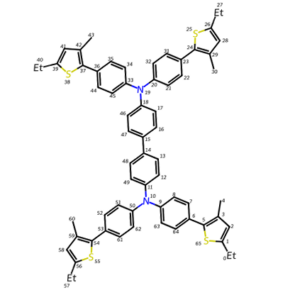 CCc1cc(C)c(-c2ccc(N(c3ccc(-c4ccc(N(c5ccc(-c6sc(CC)cc6C)cc5)c5ccc(-c6sc(CC)cc6C)cc5)cc4)cc3)c3ccc(-c4sc(CC)cc4C)cc3)cc2)s1